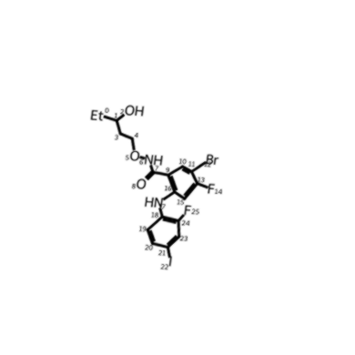 CCC(O)CCONC(=O)c1cc(Br)c(F)cc1Nc1ccc(I)cc1F